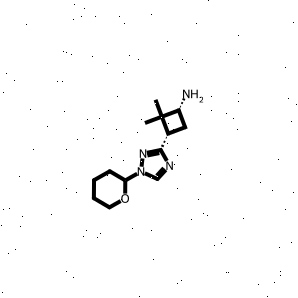 CC1(C)[C@H](N)C[C@@H]1c1ncn(C2CCCCO2)n1